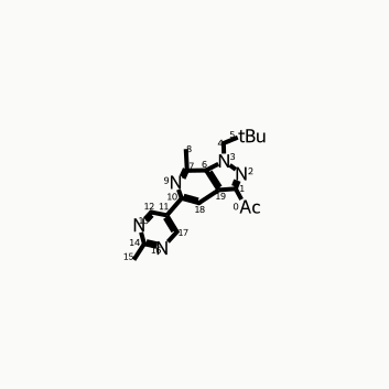 CC(=O)c1nn(CC(C)(C)C)c2c(C)nc(-c3cnc(C)nc3)cc12